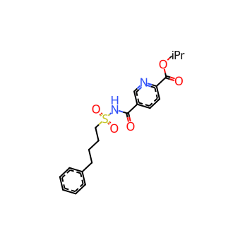 CC(C)OC(=O)c1ccc(C(=O)NS(=O)(=O)CCCCc2ccccc2)cn1